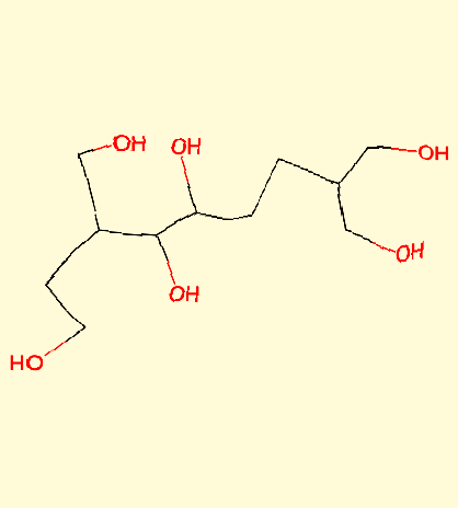 OCCC(CO)C(O)C(O)CCC(CO)CO